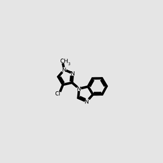 Cn1cc(Cl)c(-n2cnc3ccccc32)n1